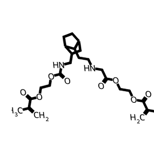 C=C(C)C(=O)OCCOC(=O)CNCCC1C2CCC1C(CNC(=O)OCCOC(=O)C(=C)C)C2